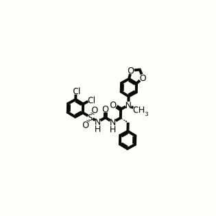 CN(C(=O)[C@H](Cc1ccccc1)NC(=O)NS(=O)(=O)c1cccc(Cl)c1Cl)c1ccc2c(c1)OCO2